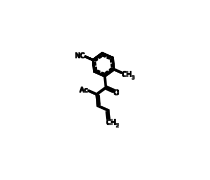 C=C/C=C(/C(C)=O)C(=O)c1cc(C#N)ccc1C